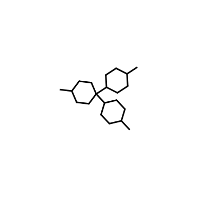 CC1CCC(C2(C3CCC(C)CC3)CCC(C)CC2)CC1